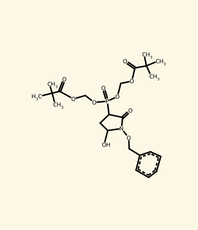 CC(C)(C)C(=O)OCOP(=O)(OCOC(=O)C(C)(C)C)C1CC(O)N(OCc2ccccc2)C1=O